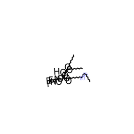 CCCCC/C=C\C/C=C\CCCCCCCC(=O)OCC(COC(=O)CCC(OCCCCCCCC)OCCCCCCCC)COC(=O)NC1CN(CC(F)(F)F)C1